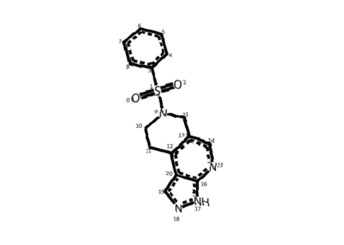 O=S(=O)(c1ccccc1)N1CCc2c(cnc3[nH]ncc23)C1